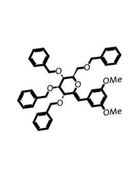 COc1cc(/C=C2\O[C@H](COCc3ccccc3)[C@@H](OCc3ccccc3)[C@H](OCc3ccccc3)[C@H]2OCc2ccccc2)cc(OC)c1